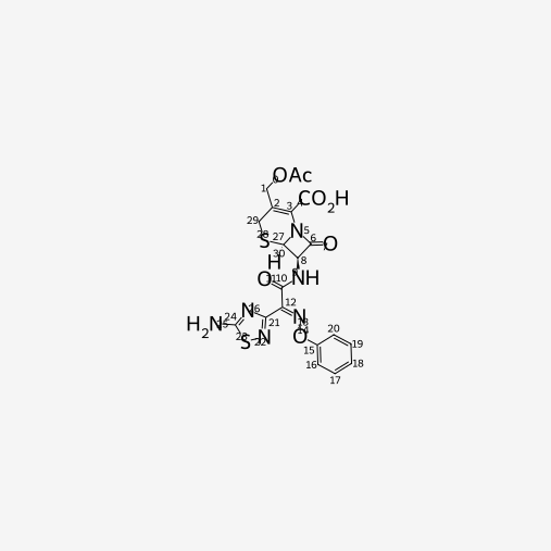 CC(=O)OCC1=C(C(=O)O)N2C(=O)[C@@H](NC(=O)C(=NOc3ccccc3)c3nsc(N)n3)[C@H]2SC1